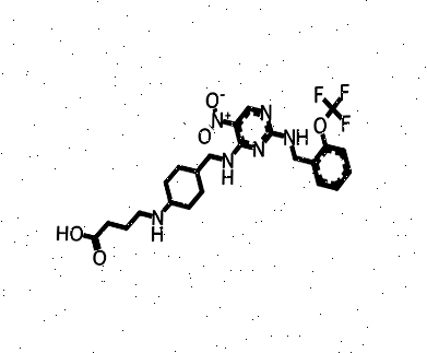 O=C(O)CCCNC1CCC(CNc2nc(NCc3ccccc3OC(F)(F)F)ncc2[N+](=O)[O-])CC1